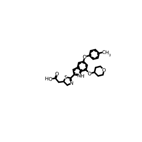 Cc1ccc(Oc2cc(OC3CCOCC3)c3[nH]c(C4=NCC(CC(=O)O)S4)cc3c2)cc1